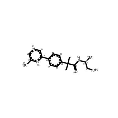 CC[C@@H](CO)NC(=O)C(C)(C)c1ccc(-c2cncc(C#N)n2)cc1